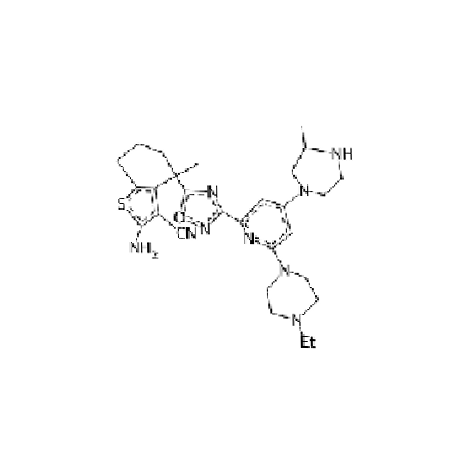 CCN1CCN(c2cc(N3CCNC(C)C3)cc(-c3noc(C4(C)CCCc5sc(N)c(C#N)c54)n3)n2)CC1